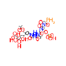 CC(C)C(=O)OCc1ccc(NC(=O)[C@H](C)NC(=O)[C@@H](NC(=O)CN2C(=O)[C@@H](N3C(=O)CC(P)C3=O)C[C@H]2COCCS(=O)(=O)O)C(C)C)cc1CC[C@@H]1O[C@H](C(=O)O)[C@@H](O)[C@H](O)[C@H]1O